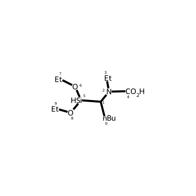 CCCCC(N(CC)C(=O)O)[SiH](OCC)OCC